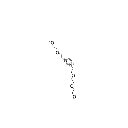 COCCOCCOCC[n+]1ccn(CCOCCOC)c1